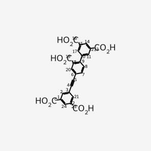 O=C(O)c1cc(C#Cc2ccc(-c3cc(C(=O)O)cc(C(=O)O)c3)c(C(=O)O)c2)cc(C(=O)O)c1